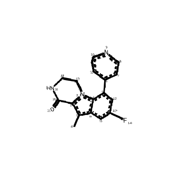 Cc1c2n(c3c(-c4ccncc4)cc(F)cc13)CCNC2=O